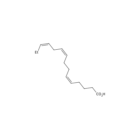 CC/C=C\C/C=C\CC/C=C\CCCC(=O)O